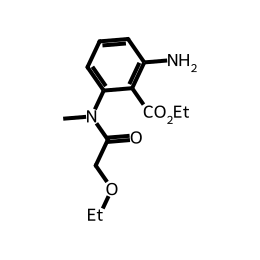 CCOCC(=O)N(C)c1cccc(N)c1C(=O)OCC